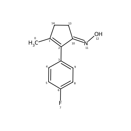 CC1=C(c2ccc(F)cc2)C(=NO)CC1